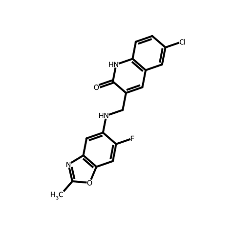 Cc1nc2cc(NCc3cc4cc(Cl)ccc4[nH]c3=O)c(F)cc2o1